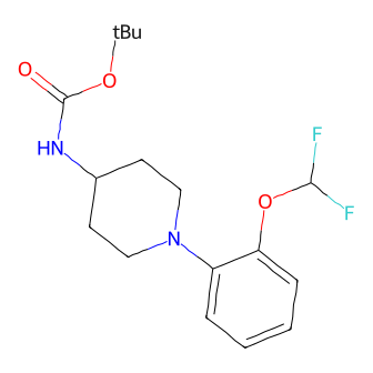 CC(C)(C)OC(=O)NC1CCN(c2ccccc2OC(F)F)CC1